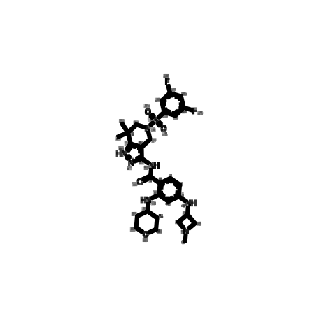 CN1CC(Nc2ccc(C(=O)Nc3n[nH]c4c3CN(S(=O)(=O)c3cc(F)cc(F)c3)CC4(C)C)c(NC3CCOCC3)c2)C1